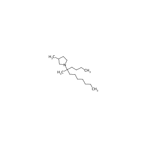 CCCCCCCC(C)(CCCC)N1CCC(C)C1